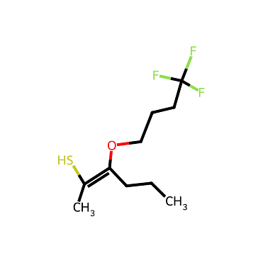 CCC/C(OCCCC(F)(F)F)=C(\C)S